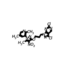 Cc1cnc(C)c(-n2nc(OCCCn3nc(Cl)c4cnc(Cl)nc43)c([N+](=O)[O-])c2C)c1